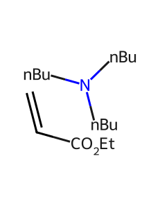 C=CC(=O)OCC.CCCCN(CCCC)CCCC